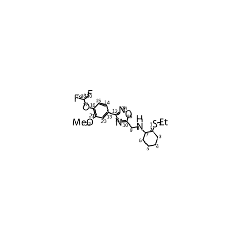 CCSC1CCCCC1NCc1nc(-c2ccc(OC(F)F)c(OC)c2)no1